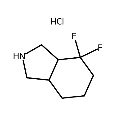 Cl.FC1(F)CCCC2CNCC21